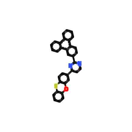 c1ccc2c(c1)Oc1cc(-c3ccnc(-c4ccc5c6ccccc6c6ccccc6c5c4)n3)ccc1S2